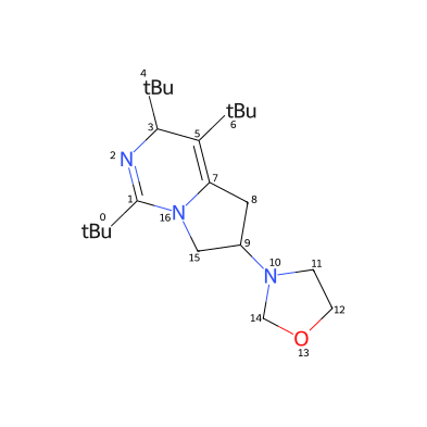 CC(C)(C)C1=NC(C(C)(C)C)C(C(C)(C)C)=C2CC(N3CCOC3)CN12